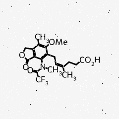 COc1c(C)c2c(c(N(C)C(=O)C(F)(F)F)c1CC=C(C)CCC(=O)O)C(=O)OC2